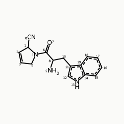 N#CC1C=CCN1C(=O)C(N)Cc1c[nH]c2ccccc12